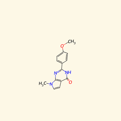 COc1ccc(-c2nc3c(ccn3C)c(=O)[nH]2)cc1